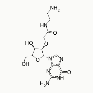 NCCNC(=O)CO[C@@H]1[C@H](O)[C@@H](CO)O[C@H]1n1cnc2c(=O)[nH]c(N)nc21